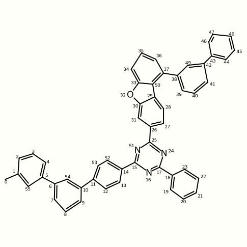 Cc1cccc(-c2cccc(-c3ccc(-c4nc(-c5ccccc5)nc(-c5ccc6c(c5)oc5cccc(-c7cccc(-c8ccccc8)c7)c56)n4)cc3)c2)c1